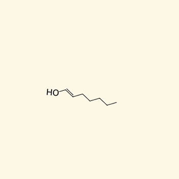 CCCCCC=CO